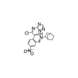 O=[N+]([O-])c1ccc(-c2c(Cl)nc3ncnn3c2NC2CC3CCC2C3)c(F)c1